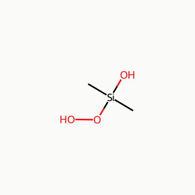 C[Si](C)(O)OO